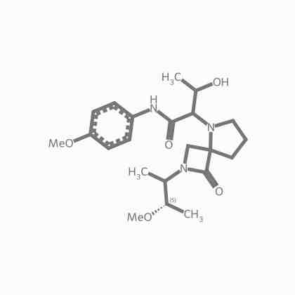 COc1ccc(NC(=O)C(C(C)O)N2CCCC23CN(C(C)[C@H](C)OC)C3=O)cc1